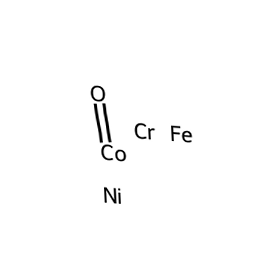 [Cr].[Fe].[Ni].[O]=[Co]